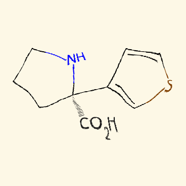 O=C(O)[C@]1(c2ccsc2)CCCN1